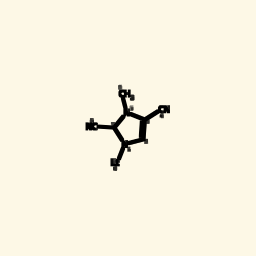 CCN1C=C(C#N)N(C)C1C#N